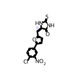 O=C1NC(=S)N/C1=C/c1ccc(-c2ccc(Cl)c([N+](=O)[O-])c2)o1